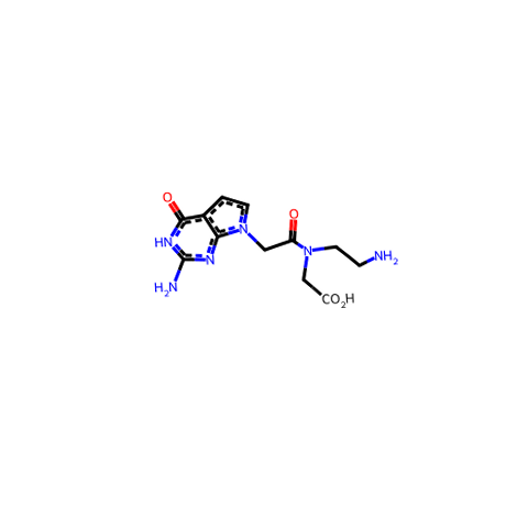 NCCN(CC(=O)O)C(=O)Cn1ccc2c(=O)[nH]c(N)nc21